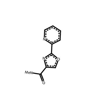 CNC(=O)c1coc(-c2ccccn2)n1